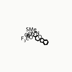 CSc1nc2c(c(OS(=O)(=O)C(F)(F)F)n1)CCC1(Cc3ccccc3C1)O2